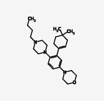 CCCCN1CCN(c2ccc(N3CCOCC3)cc2C2=CCC(C)(C)CC2)CC1